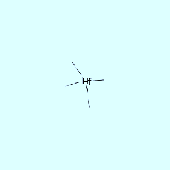 [CH3][Hf]([CH3])([CH3])[CH3]